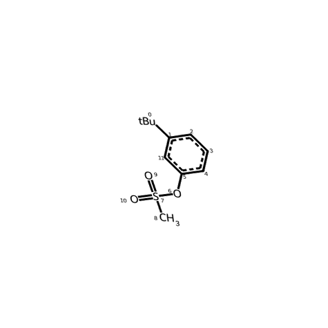 CC(C)(C)c1cccc(OS(C)(=O)=O)c1